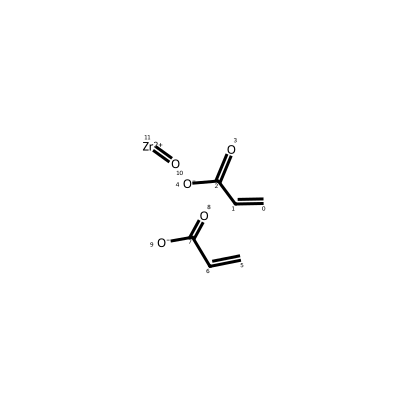 C=CC(=O)[O-].C=CC(=O)[O-].[O]=[Zr+2]